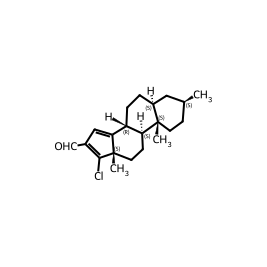 C[C@H]1CC[C@@]2(C)[C@@H](CC[C@H]3C4=CC(C=O)=C(Cl)[C@@]4(C)CC[C@@H]32)C1